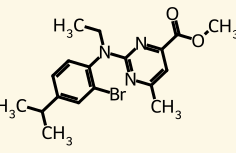 CCN(c1nc(C)cc(C(=O)OC)n1)c1ccc(C(C)C)cc1Br